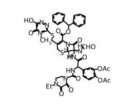 CCN1CCN(C(=O)NC(C(=O)N[C@]2(NC=O)C(=O)N3C(C(=O)OC(c4ccccc4)c4ccccc4)=C(CSc4nnc(O)c(=O)n4C)CS[C@H]32)c2ccc(OC(C)=O)c(OC(C)=O)c2)C(=O)C1=O